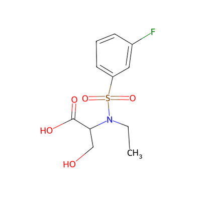 CCN(C(CO)C(=O)O)S(=O)(=O)c1cccc(F)c1